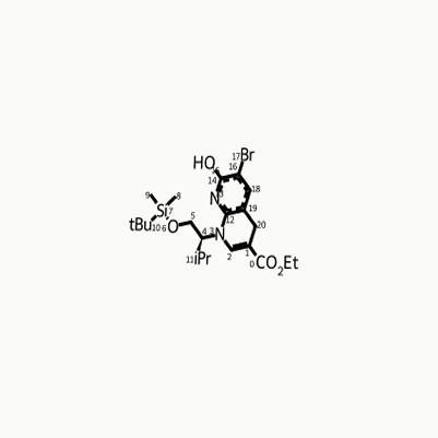 CCOC(=O)C1=CN([C@H](CO[Si](C)(C)C(C)(C)C)C(C)C)c2nc(O)c(Br)cc2C1